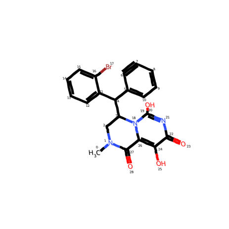 CN1CC(C(c2c#cccc2)c2ccccc2Br)n2c(O)nc(=O)c(O)c2C1=O